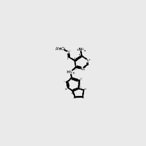 CON=Cc1c(N)ncnc1Nc1ccc2c(c1)CCC2